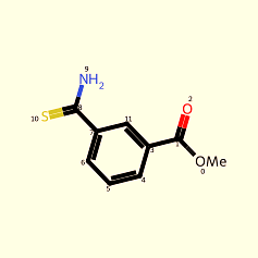 COC(=O)c1cccc(C(N)=S)c1